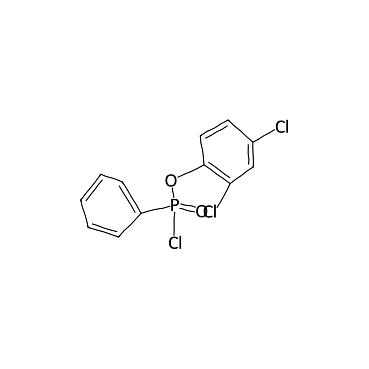 O=P(Cl)(Oc1ccc(Cl)cc1Cl)c1ccccc1